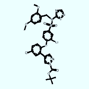 COc1ccc(CN(c2ncns2)S(=O)(=O)c2ccc(Oc3ccc(Cl)cc3-c3cnn(C(=O)OC(C)(C)C)c3)c(Cl)c2)c(OC)c1